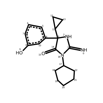 N=C1NC(c2cccc(O)c2)(C2CC2)C(=O)N1C1CCCCC1